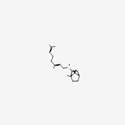 CC(C)=CCC/C(C)=C/CN(C)C1CC2CCC1(C)C2(C)C